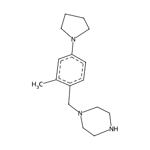 Cc1cc(N2CCCC2)ccc1CN1CCNCC1